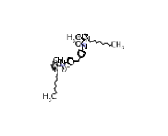 CCCCCCCCn1cc[n+](C)c1/C([O-])=N/c1ccc(Cc2ccc(/N=C(\[O-])c3n(CCCCCCCC)cc[n+]3C)cc2)cc1